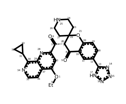 CCOc1cc(C(=O)[C@H]2C(=O)c3cc(-c4nnn[nH]4)ccc3OC23CCNCC3)nc2c(C3CC3)nccc12